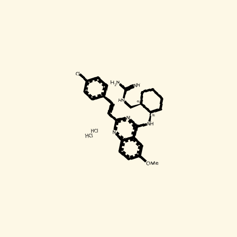 COc1ccc2nc(C=Cc3ccc(Cl)cc3)nc(N[C@@H]3CCCC[C@@H]3CNC(=N)N)c2c1.Cl.Cl